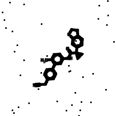 Cc1ccc(NC(=O)C2(c3ccc4c(c3)OCO4)CC2)cc1-c1ccc(CC#N)cc1